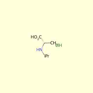 CC(C)N[C@@H](C)C(=O)O.Cl